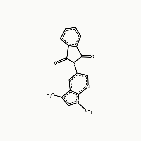 Cc1cn(C)c2ncc(N3C(=O)c4ccccc4C3=O)cc12